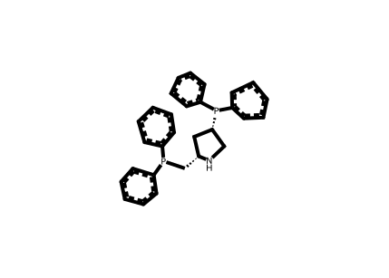 c1ccc(P(C[C@@H]2C[C@H](P(c3ccccc3)c3ccccc3)CN2)c2ccccc2)cc1